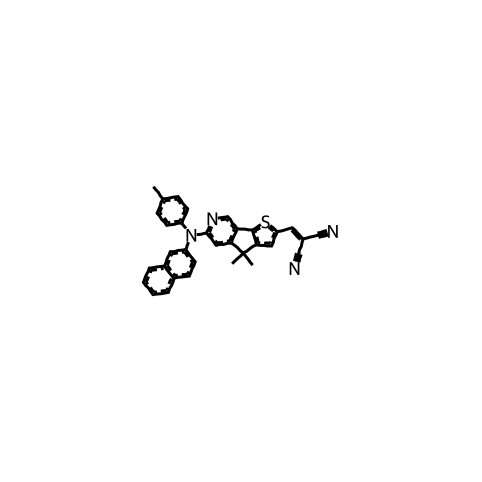 Cc1ccc(N(c2ccc3ccccc3c2)c2cc3c(cn2)-c2sc(C=C(C#N)C#N)cc2C3(C)C)cc1